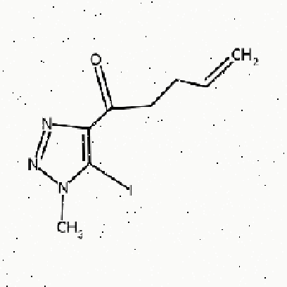 C=CCCC(=O)c1nnn(C)c1I